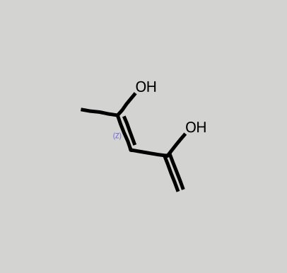 C=C(O)/C=C(/C)O